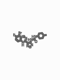 CC1CCC(NC(=O)Nc2nonc2/C(=N/O)Nc2ccc(F)c(Br)c2)CC1